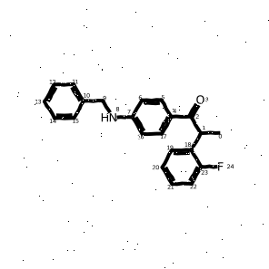 CC(C(=O)c1ccc(NCc2ccccc2)cc1)c1ccccc1F